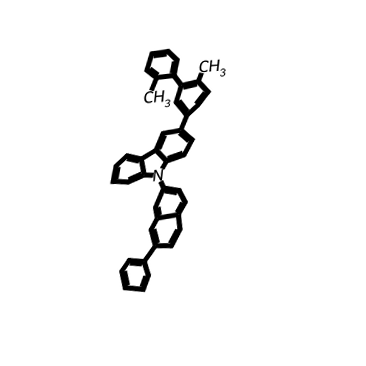 Cc1ccccc1-c1cc(-c2ccc3c(c2)c2ccccc2n3-c2ccc3ccc(-c4ccccc4)cc3c2)ccc1C